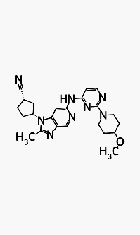 COC1CCN(c2nccc(Nc3cc4c(cn3)nc(C)n4[C@@H]3CC[C@H](C#N)C3)n2)CC1